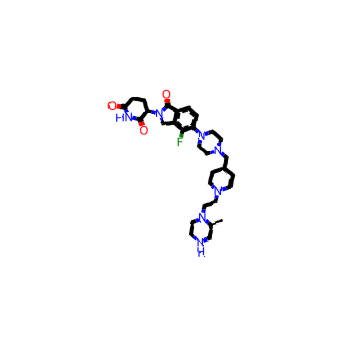 C[C@H]1CNCCN1CCN1CCC(CN2CCN(c3ccc4c(c3F)CN(C3CCC(=O)NC3=O)C4=O)CC2)CC1